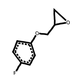 Fc1ccc(OCC2CO2)cc1